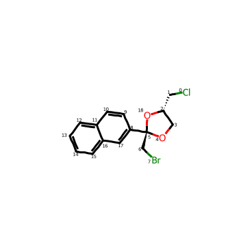 ClC[C@@H]1CO[C@](CBr)(c2ccc3ccccc3c2)O1